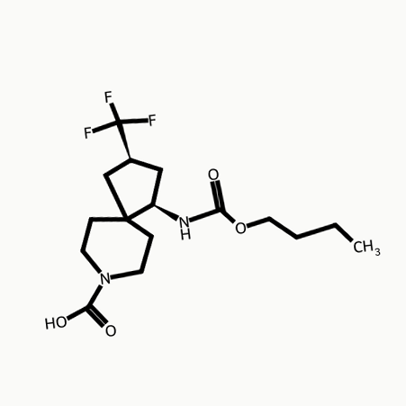 CCCCOC(=O)N[C@@H]1C[C@H](C(F)(F)F)CC12CCN(C(=O)O)CC2